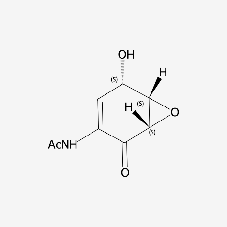 CC(=O)NC1=C[C@H](O)[C@@H]2O[C@@H]2C1=O